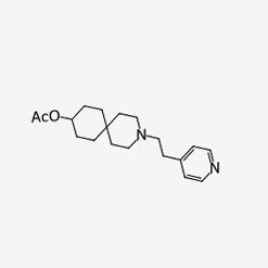 CC(=O)OC1CCC2(CC1)CCN(CCc1ccncc1)CC2